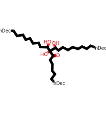 CCCCCCCCCCCCCCCCCCC(O)C(O)(C(=O)CCCCCCCCCCCCCCC)C(O)CCCCCCCCCCCCCCCCCC